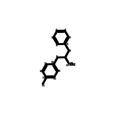 CCCCC(Cc1cc[c]cc1)Cc1ccc(C)cc1